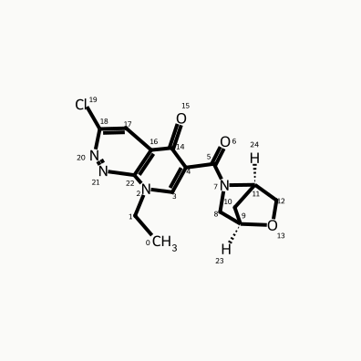 CCn1cc(C(=O)N2C[C@H]3C[C@@H]2CO3)c(=O)c2cc(Cl)nnc21